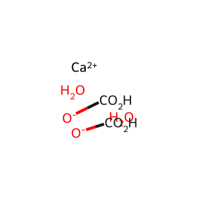 O.O.O=C([O-])O.O=C([O-])O.[Ca+2]